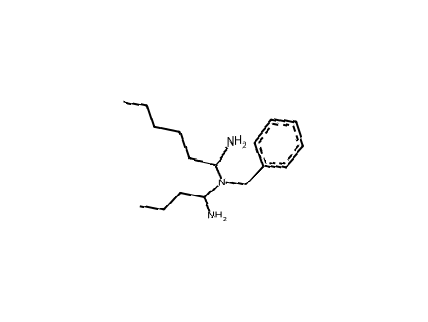 CCCCCC(N)N(Cc1ccccc1)C(N)CCC